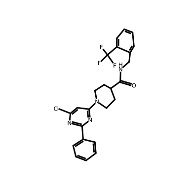 O=C(NCc1ccccc1C(F)(F)F)C1CCN(c2cc(Cl)nc(-c3ccccc3)n2)CC1